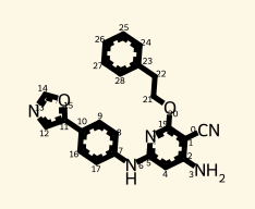 N#Cc1c(N)cc(Nc2ccc(-c3cnco3)cc2)nc1OCCc1ccccc1